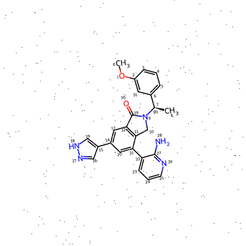 COc1cccc([C@@H](C)N2Cc3c(cc(-c4cn[nH]c4)cc3-c3cccnc3N)C2=O)c1